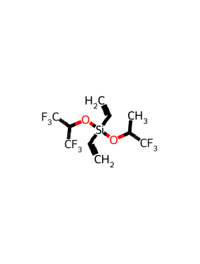 C=C[Si](C=C)(OC(C)C(F)(F)F)OC(C(F)(F)F)C(F)(F)F